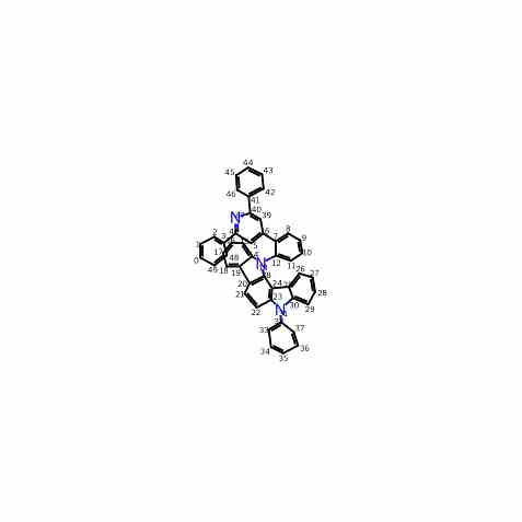 c1ccc(-c2cc(-c3ccccc3-n3c4ccccc4c4ccc5c(c6ccccc6n5-c5ccccc5)c43)cc(-c3ccccc3)n2)cc1